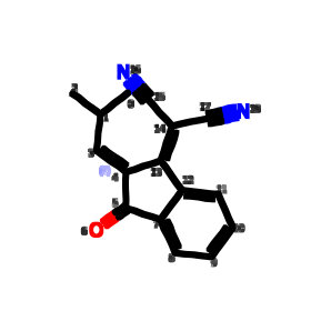 CC(C)/C=C1/C(=O)c2ccccc2C1=C(C#N)C#N